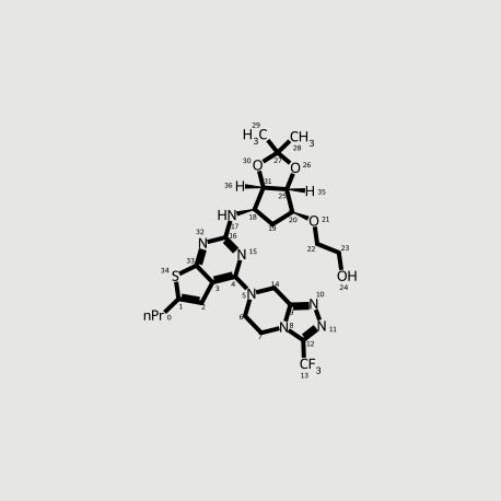 CCCc1cc2c(N3CCn4c(nnc4C(F)(F)F)C3)nc(N[C@@H]3C[C@H](OCCO)[C@H]4OC(C)(C)O[C@H]43)nc2s1